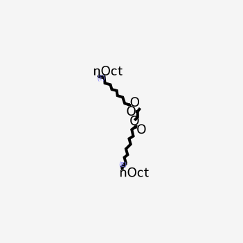 CCCCCCCC/C=C/CCCCCCCC(=O)OCC(C)OC(=O)CCCCCCC/C=C/CCCCCCCC